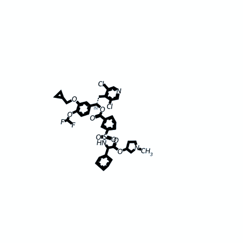 CN1CCC(OC(=O)C(NS(=O)(=O)c2cccc(C(=O)O[C@@H](Cc3c(Cl)cncc3Cl)c3ccc(OC(F)F)c(OCC4CC4)c3)c2)c2ccccc2)C1